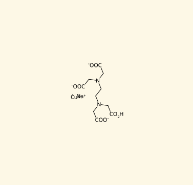 O=C([O-])CN(CCN(CC(=O)[O-])CC(=O)O)CC(=O)[O-].[Cu+2].[Na+]